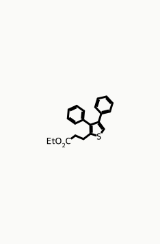 CCOC(=O)CCc1scc(-c2ccccc2)c1-c1ccccc1